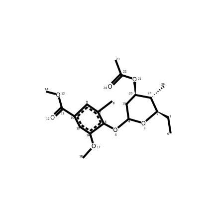 CC[C@H]1OC(Oc2c(C)cc(C(=O)OC)cc2OC)C[C@@H](OC(C)=O)[C@@H]1C